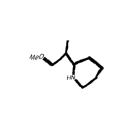 COCC(C)C1CCCCN1